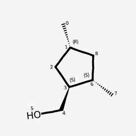 C[C@H]1C[C@H](CO)[C@@H](C)C1